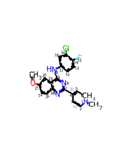 C=N/C=C\C(=C/C)c1nc(Nc2ccc(F)c(Cl)c2)c2cc(OC)ccc2n1